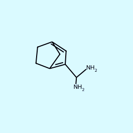 NC(N)C1=C2CCC(=C1)C2